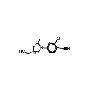 C[C@@H]1O[C@H](CO)CN1c1ccc(C#N)c(Cl)c1